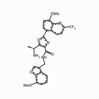 COc1ccc(-c2nc(C(=O)NCc3coc4c(OC)cccc34)c([C@H](C)N)o2)c2ccc(C(F)(F)F)nc12